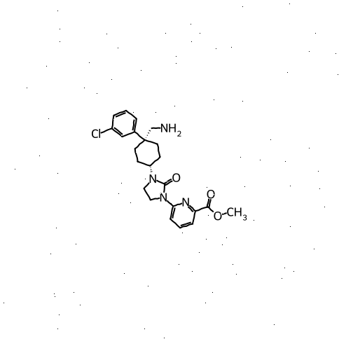 COC(=O)c1cccc(N2CCN([C@H]3CC[C@](CN)(c4cccc(Cl)c4)CC3)C2=O)n1